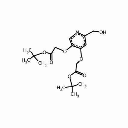 CC(C)(C)OC(=O)COc1cnc(CO)cc1OCC(=O)OC(C)(C)C